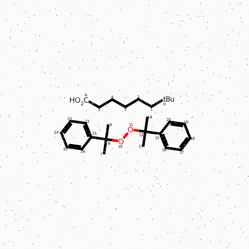 CC(C)(C)CCCCCC(=O)O.CC(C)(OOC(C)(C)c1ccccc1)c1ccccc1